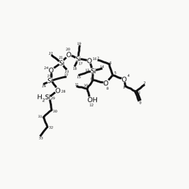 C=C(C)COC(CC)OC(C(C)O)[Si](C)(C)O[Si](C)(C)O[Si](C)(C)O[Si](C)(C)O[SiH2]CCCC